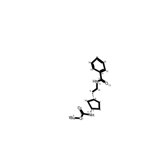 CC(C)(C)OC(=O)N[C@H]1CC[C@@H](CCNC(=O)c2ccccc2)C1